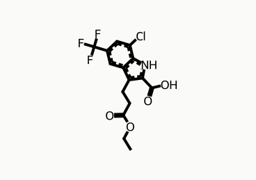 CCOC(=O)CCc1c(C(=O)O)[nH]c2c(Cl)cc(C(F)(F)F)cc12